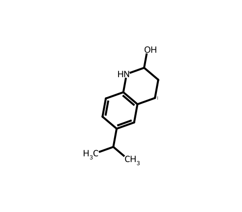 CC(C)c1ccc2c(c1)[C]CC(O)N2